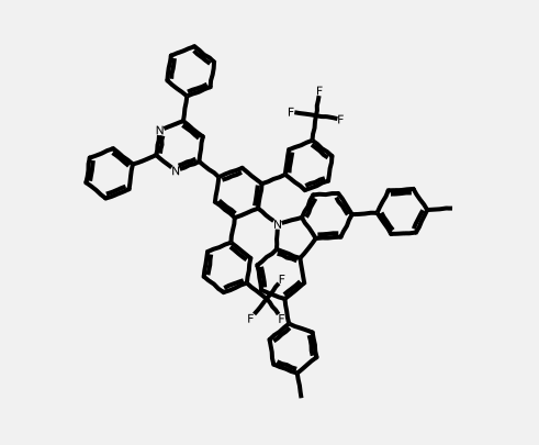 Cc1ccc(-c2ccc3c(c2)c2cc(-c4ccc(C)cc4)ccc2n3-c2c(-c3cccc(C(F)(F)F)c3)cc(-c3cc(-c4ccccc4)nc(-c4ccccc4)n3)cc2-c2cccc(C(F)(F)F)c2)cc1